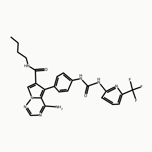 CCCCNC(=O)c1cn2ncnc(N)c2c1-c1ccc(NC(=O)Nc2cccc(C(F)(F)F)n2)cc1